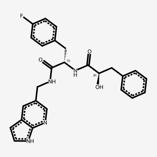 O=C(N[C@@H](Cc1ccc(F)cc1)C(=O)NCc1cnc2[nH]ccc2c1)[C@H](O)Cc1ccccc1